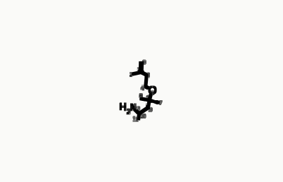 C=C(C)CCOC(C)(C)CC(C)N